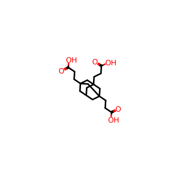 O=C(O)CCC12CC3CC(CCC(=O)O)(C1)CC(CCC(=O)O)(C3)C2